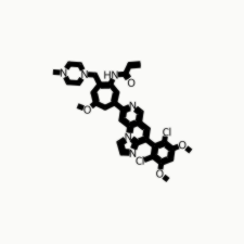 C=CC(=O)NC1=C(CN2CCN(C)CC2)C=C(OC)CC(c2cc3c(cn2)cc(-c2c(Cl)c(OC)cc(OC)c2Cl)c2nccn23)=C1